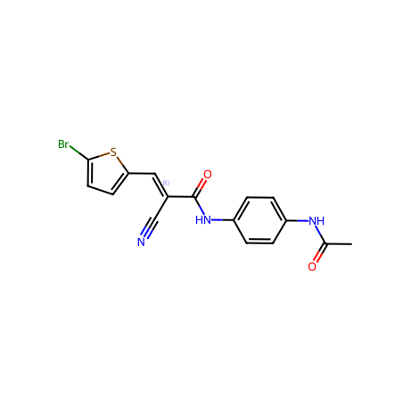 CC(=O)Nc1ccc(NC(=O)/C(C#N)=C/c2ccc(Br)s2)cc1